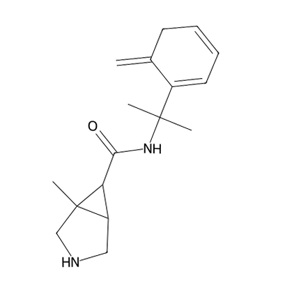 C=C1CC=CC=C1C(C)(C)NC(=O)C1C2CNCC21C